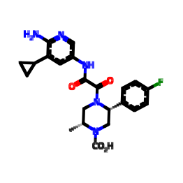 C[C@@H]1CN(C(=O)C(=O)Nc2cnc(N)c(C3CC3)c2)[C@H](c2ccc(F)cc2)CN1C(=O)O